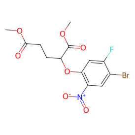 COC(=O)CCC(Oc1cc(F)c(Br)cc1[N+](=O)[O-])C(=O)OC